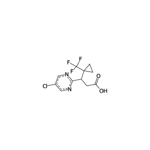 O=C(O)CC(c1ncc(Cl)cn1)C1(C(F)(F)F)CC1